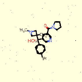 CC(C)c1ccc([C@](O)(c2cncc(C(=O)N3CCCC3)c2)C2(C)CN(C)C2)cc1